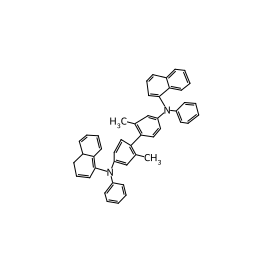 Cc1cc(N(C2=C3C=CC=CC3CC=C2)c2ccccc2)ccc1-c1ccc(N(c2ccccc2)c2cccc3ccccc23)cc1C